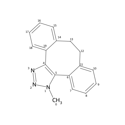 Cn1nnc2c1-c1ccccc1CCc1ccccc1-2